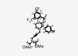 COC(C)N(CC#CCN1CCO[C@H](O[C@H](C)c2cc(C(F)(F)F)cc(C(F)(F)F)c2)[C@@H]1c1ccc(F)cc1)C(C)OC